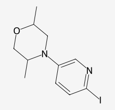 CC1CN(c2ccc(I)nc2)C(C)CO1